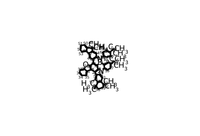 CC(C)(C)c1ccc(N2B3c4cc(C(C)(C)C)ccc4-n4c5cc6c(cc5c5c7c(oc8ccccc87)c(c3c54)-c3cc4c(cc32)C(C)(C)c2ccccc2-4)C(C)(C)CCC6(C)C)cc1